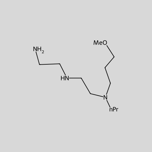 CCCN(CCCOC)CCNCCN